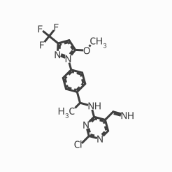 COc1cc(C(F)(F)F)nn1-c1ccc(C(C)Nc2nc(Cl)ncc2C=N)cc1